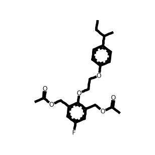 CCC(C)c1ccc(OCCOc2c(COC(C)=O)cc(F)cc2COC(C)=O)cc1